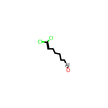 [O]=[Al][CH2]CCCCC=C(Cl)Cl